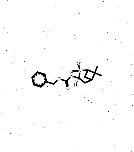 CC1(C)C2CC1[N+](C)([O-])[C@H](NC(=O)OCc1ccccc1)C2